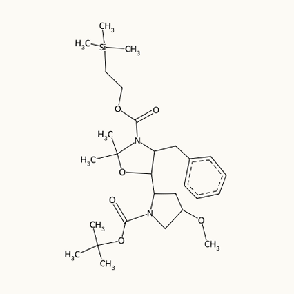 COC1CC(C2OC(C)(C)N(C(=O)OCC[Si](C)(C)C)C2Cc2ccccc2)N(C(=O)OC(C)(C)C)C1